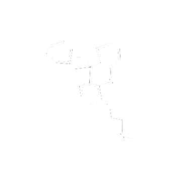 CN(C)CCOc1cccc2c1N(C)c1ccccc1C2(O)Cc1ccccc1